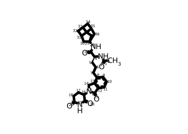 CC(=O)N[C@@H](CCCc1cccc2c1CN(C1CCC(=O)NC1=O)C2=O)C(=O)NC12CC3CC4CC(C1)C43C2